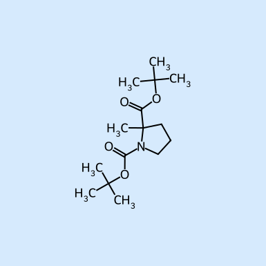 CC(C)(C)OC(=O)N1CCCC1(C)C(=O)OC(C)(C)C